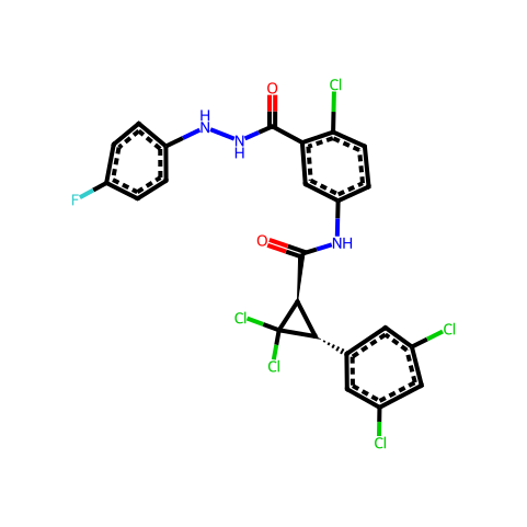 O=C(NNc1ccc(F)cc1)c1cc(NC(=O)[C@H]2[C@H](c3cc(Cl)cc(Cl)c3)C2(Cl)Cl)ccc1Cl